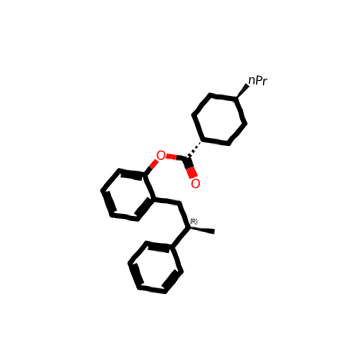 CCC[C@H]1CC[C@H](C(=O)Oc2ccccc2C[C@@H](C)c2ccccc2)CC1